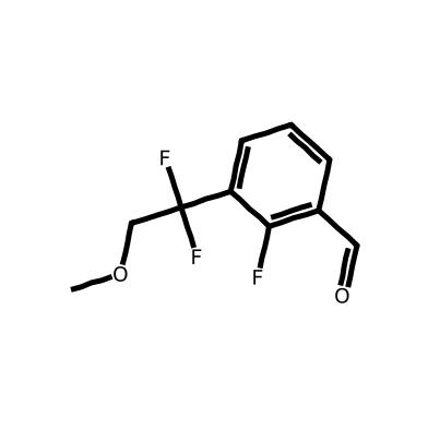 COCC(F)(F)c1cccc(C=O)c1F